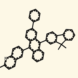 Cc1ccc2cc(-c3c4ccccc4c(-c4ccc5c(c4)C(C)(C)c4ccccc4-5)c4cc(-c5ccccc5)ccc34)ccc2n1